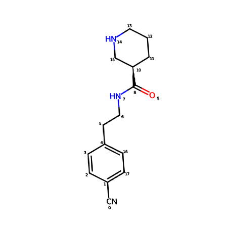 N#Cc1ccc(CCNC(=O)[C@@H]2CCCNC2)cc1